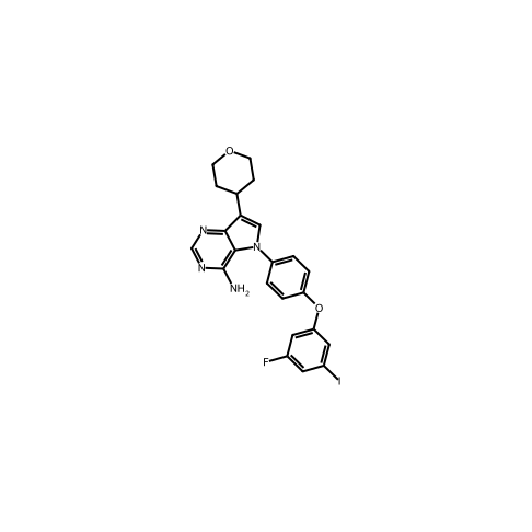 Nc1ncnc2c(C3CCOCC3)cn(-c3ccc(Oc4cc(F)cc(I)c4)cc3)c12